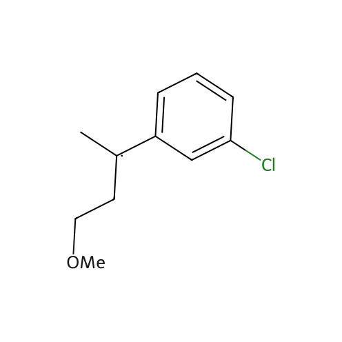 COCC[C](C)c1cccc(Cl)c1